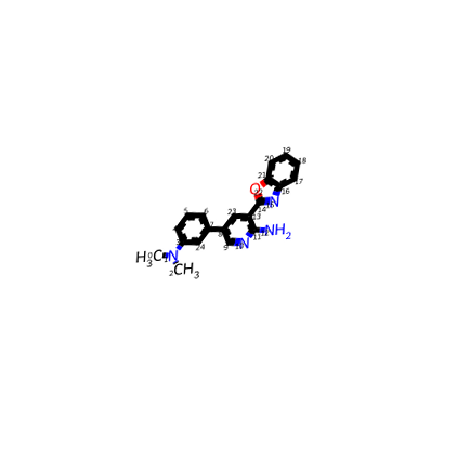 CN(C)c1cccc(-c2cnc(N)c(-c3nc4ccccc4o3)c2)c1